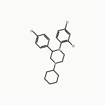 Clc1ccc(C2CN(C3CCCCC3)CCN2c2ccc(Cl)cc2Cl)cc1